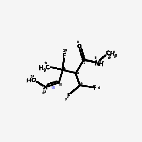 CNC(=O)C(C(F)F)C(C)(F)/C=N\O